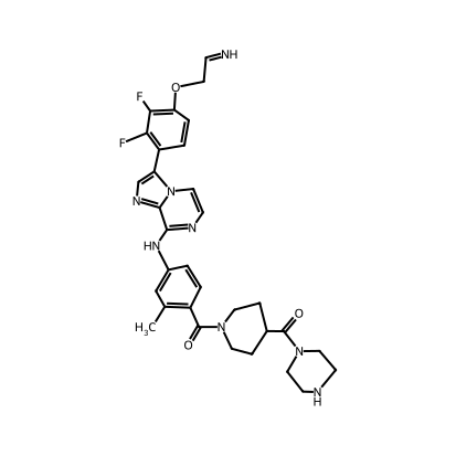 Cc1cc(Nc2nccn3c(-c4ccc(OCC=N)c(F)c4F)cnc23)ccc1C(=O)N1CCC(C(=O)N2CCNCC2)CC1